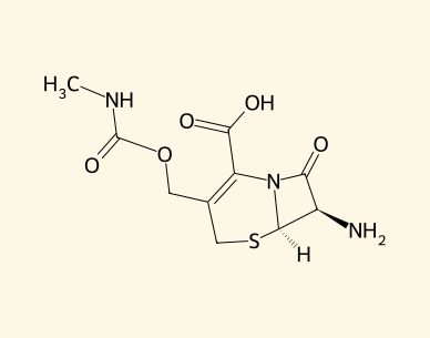 CNC(=O)OCC1=C(C(=O)O)N2C(=O)[C@@H](N)[C@H]2SC1